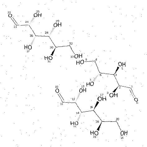 O=C[C@@H](O)[C@H](O)[C@H](O)CO.O=C[C@H](O)[C@@H](O)[C@@H](O)[C@H](O)CO.O=C[C@H](O)[C@@H](O)[C@H](O)[C@H](O)CO